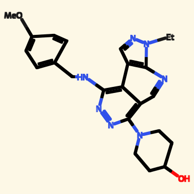 CCn1ncc2c3c(NCc4ccc(OC)cc4)nnc(N4CCC(O)CC4)c3cnc21